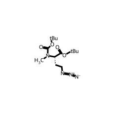 CN(C(=O)OC(C)(C)C)[C@@H](CCN=[N+]=[N-])C(=O)OC(C)(C)C